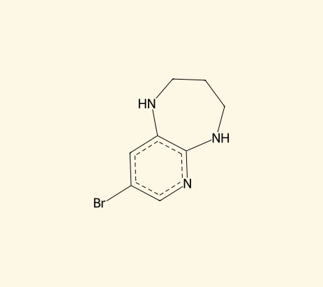 Brc1cnc2c(c1)NCCCN2